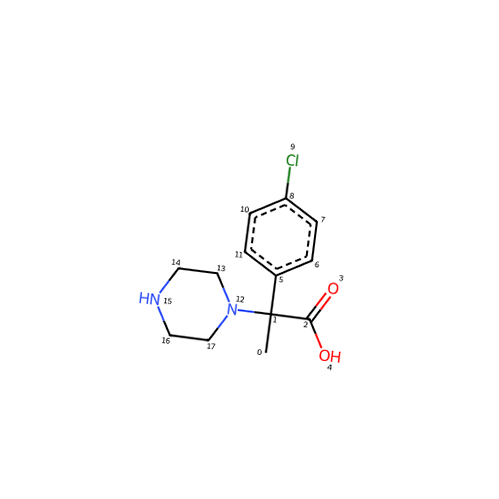 CC(C(=O)O)(c1ccc(Cl)cc1)N1CCNCC1